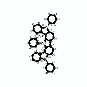 N#Cc1ccccc1-n1c2c(ccc3c2c2ccccc2n3-c2ccccc2)c2ccc3c(c4ccccc4n3-c3ccccc3)c21